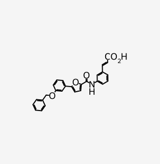 O=C(O)C=Cc1cccc(NC(=O)c2ccc(-c3cccc(OCc4ccccc4)c3)o2)c1